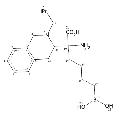 CC(C)CN1Cc2ccccc2CC1C(N)(CCCCB(O)O)C(=O)O